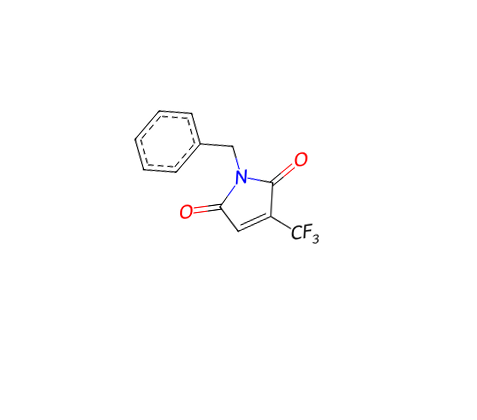 O=C1C=C(C(F)(F)F)C(=O)N1Cc1ccccc1